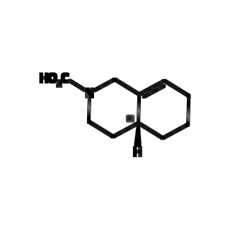 O=C(O)N1CC[C@H]2CCCC=C2C1